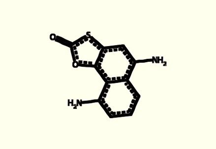 Nc1cc2sc(=O)oc2c2c(N)cccc12